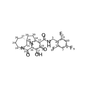 O=C(NCc1c(F)cc(F)cc1F)c1c2n3c(c(O)c1=O)C(=O)N1CCCC[C@@]3(CC2)C1